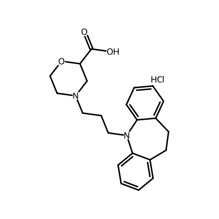 Cl.O=C(O)C1CN(CCCN2c3ccccc3CCc3ccccc32)CCO1